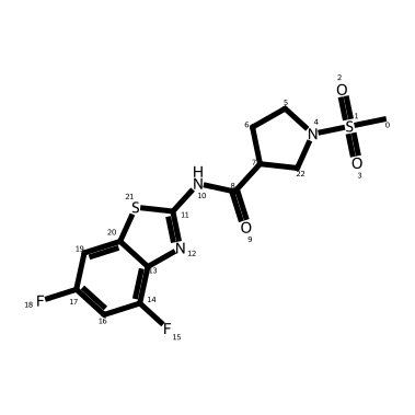 CS(=O)(=O)N1CCC(C(=O)Nc2nc3c(F)cc(F)cc3s2)C1